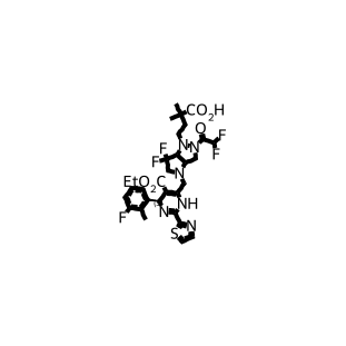 CCOC(=O)C1=C(CN2CC(F)(F)C3C2CN(C(=O)C(F)F)N3CCC(C)(C)C(=O)O)NC(c2nccs2)=N[C@H]1c1cccc(F)c1C